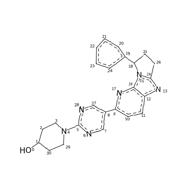 OC1CCN(c2ncc(-c3ccc4nc5n(c4n3)C(c3ccccc3)CC5)cn2)CC1